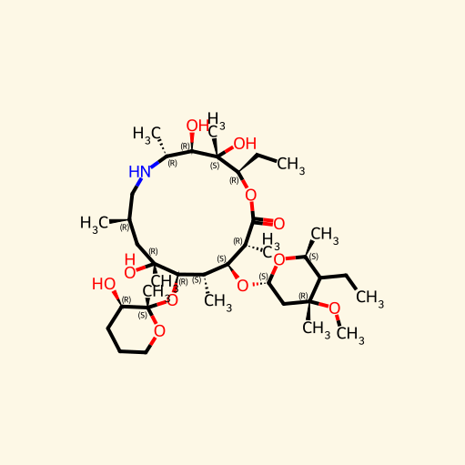 CCC1[C@H](C)O[C@@H](O[C@H]2[C@H](C)[C@@H](O[C@]3(C)OCCC[C@H]3O)[C@](C)(O)C[C@@H](C)CN[C@H](C)[C@@H](O)[C@](C)(O)[C@@H](CC)OC(=O)[C@@H]2C)C[C@@]1(C)OC